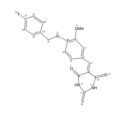 COc1cc(C=C2C(=O)NC(=S)NC2=O)ccc1OCc1ccc(F)cc1